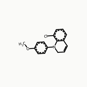 COc1ccc(N2CC=Cc3cccc(Cl)c32)cc1